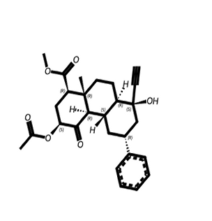 C#C[C@]1(O)C[C@H](c2ccccc2)C[C@@H]2[C@H]3C(=O)[C@@H](OC(C)=O)C[C@@H](C(=O)OC)[C@]3(C)CC[C@H]21